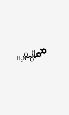 Cc1ccccc1-c1ccc(CNC(=O)CCC(N)=O)cc1